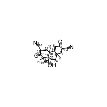 CC12C=C(C#N)C(=O)C=C1C1(C)C=C(C#N)C(=O)C(C)(C)[C@@H]1[C@@H](O)C2